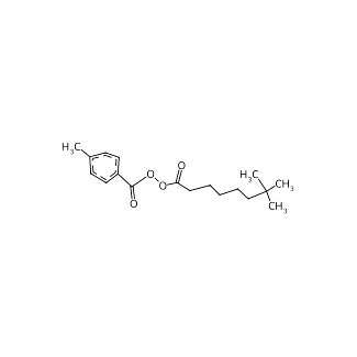 Cc1ccc(C(=O)OOC(=O)CCCCCC(C)(C)C)cc1